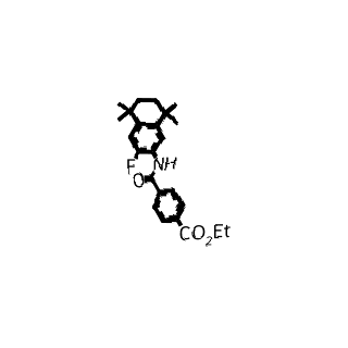 CCOC(=O)c1ccc(C(=O)Nc2cc3c(cc2F)C(C)(C)CCC3(C)C)cc1